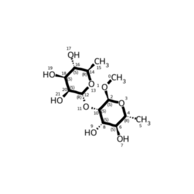 CO[C@H]1O[C@H](C)[C@@H](O)[C@H](O)[C@@H]1O[C@H]1O[C@H](C)[C@@H](O)[C@H](O)[C@@H]1O